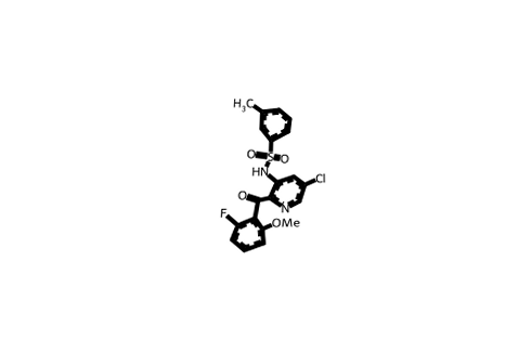 COc1cccc(F)c1C(=O)c1ncc(Cl)cc1NS(=O)(=O)c1cccc(C)c1